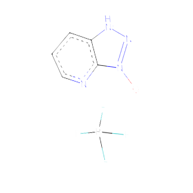 F[B-](F)(F)F.[O-][N+]1=N[NH2+]c2cccnc21